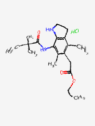 CCOC(=O)Cc1c(C)c2c(c(NC(=O)C(C)(C)C)c1C)NCC2.Cl